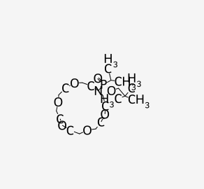 CC(C)P(=O)(OCC(C)(C)C)N1CCOCCOCCOCCOCCOCC1